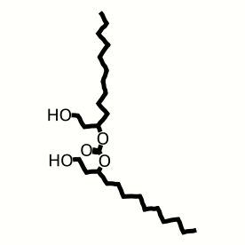 CCCCCCCCCCC(CCO)OC(=O)OC(CCO)CCCCCCCCCC